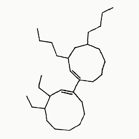 CCCCC1C=C(C2=CC(CC)C(CC)CCCCCC2)CCCCC(CCCC)C1